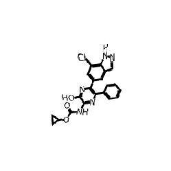 O=C(Nc1nc(-c2ccccc2)c(-c2cc(Cl)c3[nH]ncc3c2)nc1O)OC1CC1